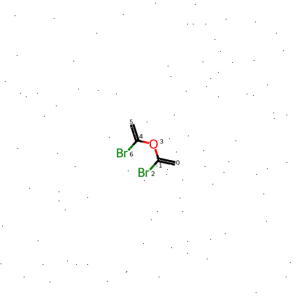 C=C(Br)OC(=C)Br